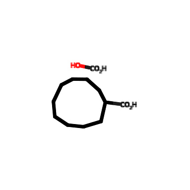 O=C(O)C1CCCCCCCCC1.O=C(O)O